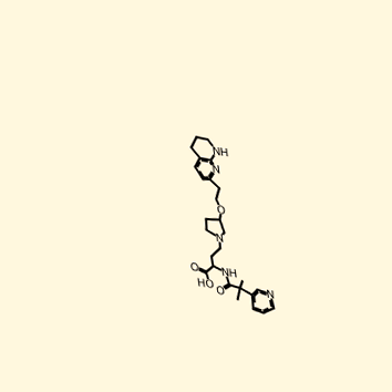 CC(C)(C(=O)NC(CCN1CCC(OCCc2ccc3c(n2)NCCC3)C1)C(=O)O)c1cccnc1